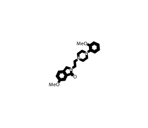 COc1ccc2c(c1)C(=O)N(CCN1CCN(c3ccccc3OC)CC1)C2